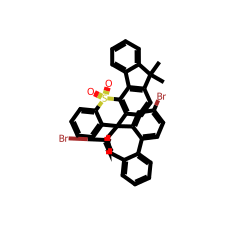 CC1(C)c2ccccc2-c2c1ccc1c2S(=O)(=O)c2ccccc2C12c1cc(Br)ccc1-c1ccccc1-c1ccc(Br)cc12